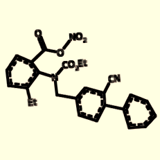 CCOC(=O)N(Cc1ccc(-c2ccccc2)c(C#N)c1)c1c(CC)cccc1C(=O)O[N+](=O)[O-]